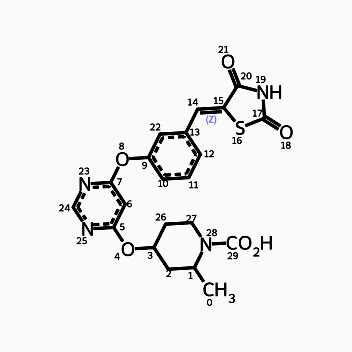 CC1CC(Oc2cc(Oc3cccc(/C=C4\SC(=O)NC4=O)c3)ncn2)CCN1C(=O)O